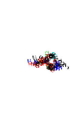 CCOc1cc(Oc2ccc(C(F)(F)F)cc2Cl)ccc1[N+](=O)[O-].COc1nc(C)nc(NC(=O)NS(=O)(=O)c2ccsc2C(=O)O)n1.CP(=O)(O)CCC(N)C(=O)O